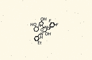 CCc1cccc(CNC[C@@H](O)[C@H](Cc2cc(F)cc(F)c2)NC(=O)[C@@H]2CC(O)CN2[C@@H]2CCCC[C@H]2O)c1